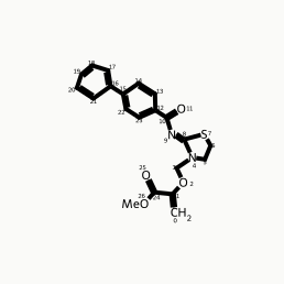 C=C(OCN1CCS/C1=N\C(=O)c1ccc(-c2ccccc2)cc1)C(=O)OC